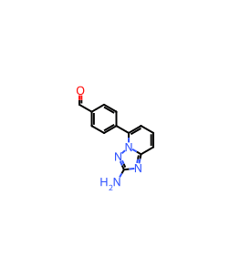 Nc1nc2cccc(-c3ccc(C=O)cc3)n2n1